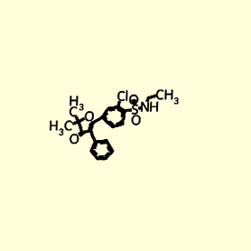 CCNS(=O)(=O)c1ccc(C2=C(c3ccccc3)C(=O)C(C)(C)O2)cc1Cl